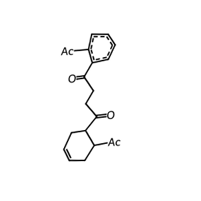 CC(=O)c1ccccc1C(=O)CCC(=O)C1CC=CCC1C(C)=O